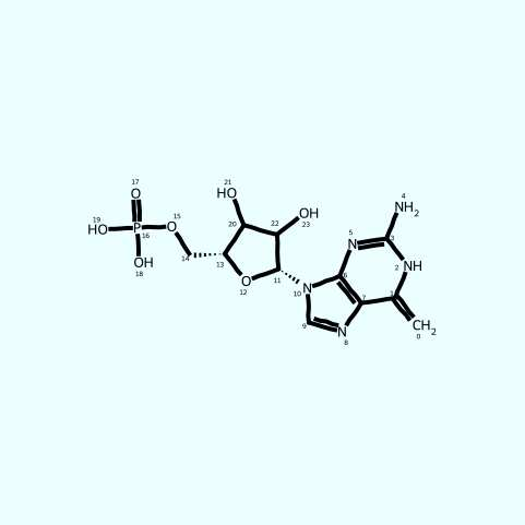 C=C1NC(N)=Nc2c1ncn2[C@@H]1O[C@H](COP(=O)(O)O)C(O)C1O